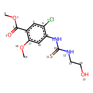 COC(=O)c1cc(Cl)c(NC(=S)NCCO)cc1OC